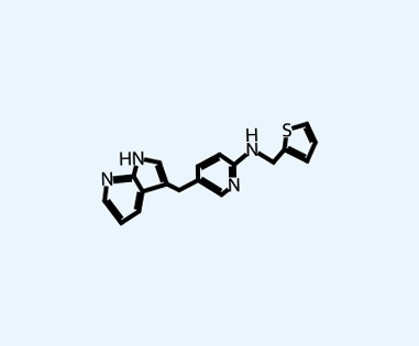 c1csc(CNc2ccc(Cc3c[nH]c4ncccc34)cn2)c1